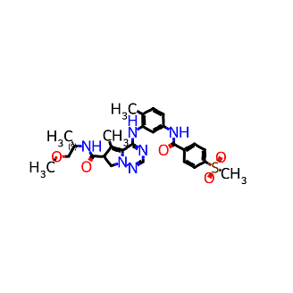 COC[C@H](C)NC(=O)C1CN2N=CN=C(Nc3cc(NC(=O)c4ccc(S(C)(=O)=O)cc4)ccc3C)C2=C1C